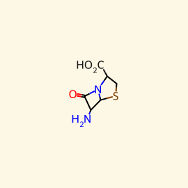 NC1C(=O)N2C(C(=O)O)CSC12